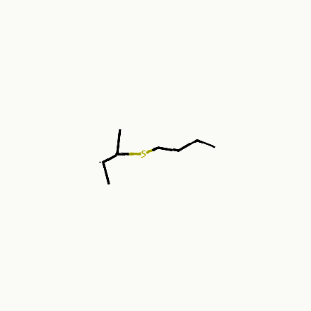 C[CH]C(C)SCCCC